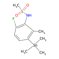 Cc1[c]([Sn]([CH3])([CH3])[CH3])ccc(F)c1NS(C)(=O)=O